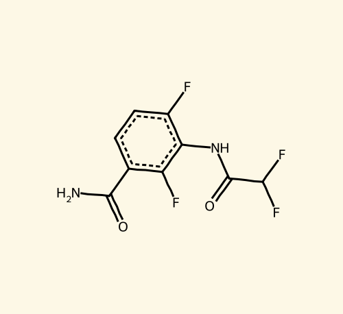 NC(=O)c1ccc(F)c(NC(=O)C(F)F)c1F